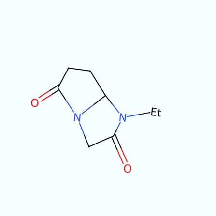 CCN1C(=O)CN2C(=O)CCC12